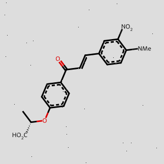 CNc1ccc(/C=C/C(=O)c2ccc(O[C@@H](C)C(=O)O)cc2)cc1[N+](=O)[O-]